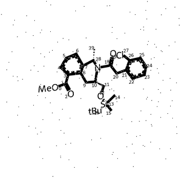 COC(=O)c1cccc2c1C[C@H](CO[Si](C)(C)C(C)(C)C)N(C(=O)Cc1ccccc1Cl)[C@H]2C